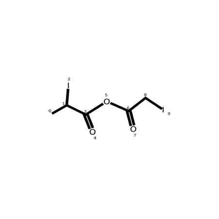 CC(I)C(=O)OC(=O)CI